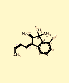 C=C1/C(=C\C=C/C)c2cccc(Br)c2C1(C)C